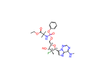 CCOC(=O)C(C)(C)NP(=O)(OC[C@H]1O[C@@H](c2cnc3c(NC)ncnn23)[C@](C)(F)[C@@H]1O)Oc1ccccc1